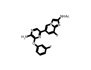 CC(=O)Nc1cn2cc(-c3cnc(N)c(Oc4cccc(F)c4)n3)cc(F)c2n1